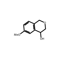 COc1ccc2c(c1)C(O)COC2